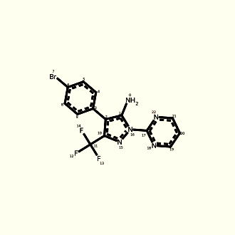 Nc1c(-c2ccc(Br)cc2)c(C(F)(F)F)nn1-c1ncccn1